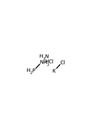 Cl.N.NP.[Cl][K]